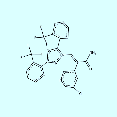 NC(=O)/C(=C/n1nc(-c2ccccc2C(F)(F)F)nc1-c1ccccc1C(F)(F)F)c1cncc(Cl)c1